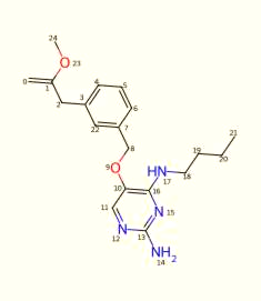 C=C(Cc1cccc(COc2cnc(N)nc2NCCCC)c1)OC